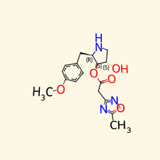 COc1ccc(C[C@H]2NC[C@H](O)[C@H]2OC(=O)Cc2noc(C)n2)cc1